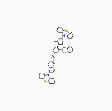 Cc1cc(N2c3ccccc3Sc3ccccc32)ccc1-c1ccc(/C=C/C2=Cc3ccc(N4c5ccccc5Sc5ccccc54)cc3CC2)cc1C1Cc2ccccc2C1